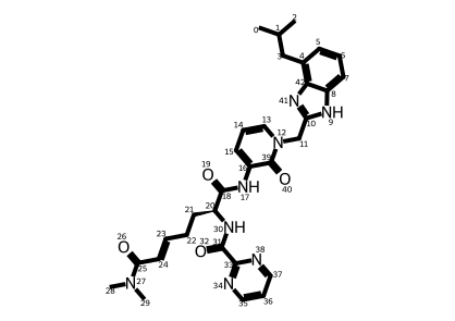 CC(C)Cc1cccc2[nH]c(Cn3cccc(NC(=O)[C@H](CC/C=C/C(=O)N(C)C)NC(=O)c4ncccn4)c3=O)nc12